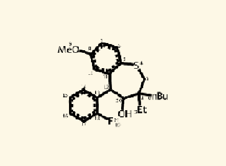 CCCCC1(CC)CSc2ccc(OC)cc2C(c2ccccc2F)C1O